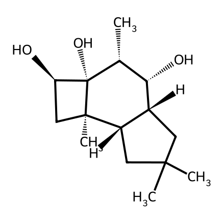 C[C@@H]1[C@H](O)[C@@H]2CC(C)(C)C[C@@H]2[C@@]2(C)C[C@@H](O)[C@@]12O